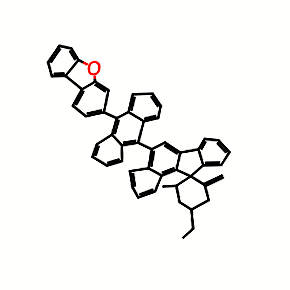 C=C1CC(CC)CC(C)C12c1ccccc1-c1cc(-c3c4ccccc4c(-c4ccc5c(c4)oc4ccccc45)c4ccccc34)c3ccccc3c12